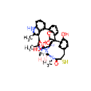 B[C@]1(C(C)C)N(C)C(=O)C(S)Cc2ccc(O)c(c2)C23/C=C(\c4nc(C)c(o4)-c4c(C)[nH]c5cccc(c45)-c4cccc2c4OC3O)N1CO